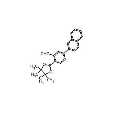 CC1(C)OB(c2ccc(-c3ccc4ccccc4c3)cc2C=O)OC1(C)C